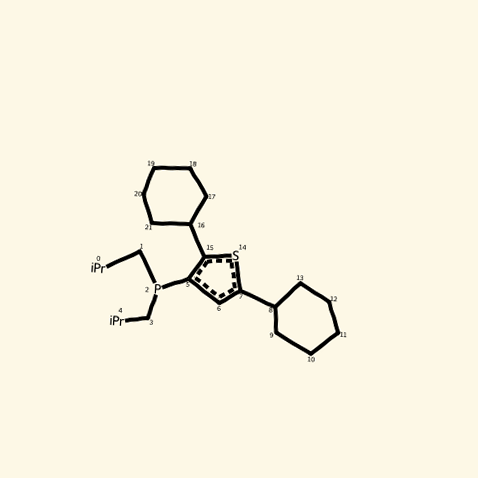 CC(C)CP(CC(C)C)c1cc(C2CCCCC2)sc1C1CCCCC1